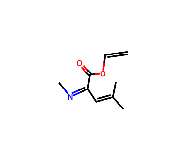 C=COC(=O)/C(C=C(C)C)=N\C